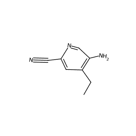 CCc1cc(C#N)ncc1N